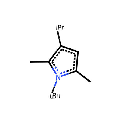 Cc1cc(C(C)C)c(C)n1C(C)(C)C